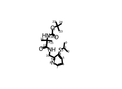 CC(C)Sc1cccnc1CNC(=O)C(C)(C)NC(=O)OC(C)(C)C